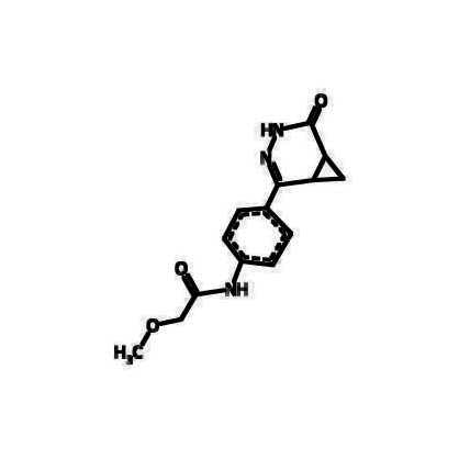 COCC(=O)Nc1ccc(C2=NNC(=O)C3CC23)cc1